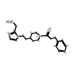 CCCCCCCCCCCc1nccn1CCC1CCN(C(=O)CCc2ccccc2)CC1